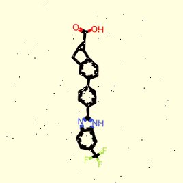 O=C(O)C1C2Cc3cc(-c4ccc(-c5nc6ccc(C(F)(F)F)cc6[nH]5)cc4)ccc3C21